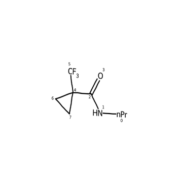 CCCNC(=O)C1(C(F)(F)F)CC1